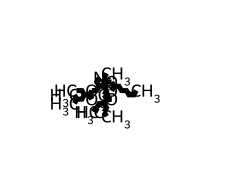 C#CCC(CC(C)C)C(=O)OCc1cnc(C)c(OC(=O)CCC/C=C\C)c1COC(=O)C(CC#C)CC(C)C